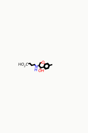 Cc1ccc2c(c1)OC[C@@H](NCCCC(=O)O)[C@H]2O